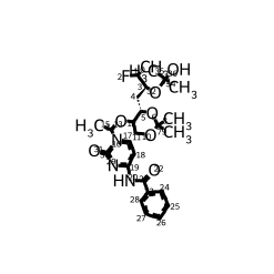 CC(F)[C@H](C[C@@H]1OC(C)(C)OCC1OC(C)n1ccc(NC(=O)c2ccccc2)nc1=O)OC(C)(C)O